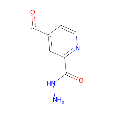 NNC(=O)c1cc([C]=O)ccn1